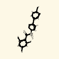 Cc1ccc(-c2ccc([PH](=O)C(=O)c3c(C)cc(C)cc3C)cc2)cc1